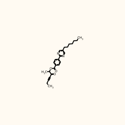 CCC#CC(=O)C(C)OC(=O)c1ccc(-c2ncc(CCCCCCC)cn2)cc1